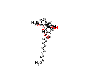 CCCCCCCCCCCC(=O)OC1=CC[C@@]2(O)[C@@H]3CCC[C@@]24c2c(ccc(OC)c2O[C@@H]14)C3